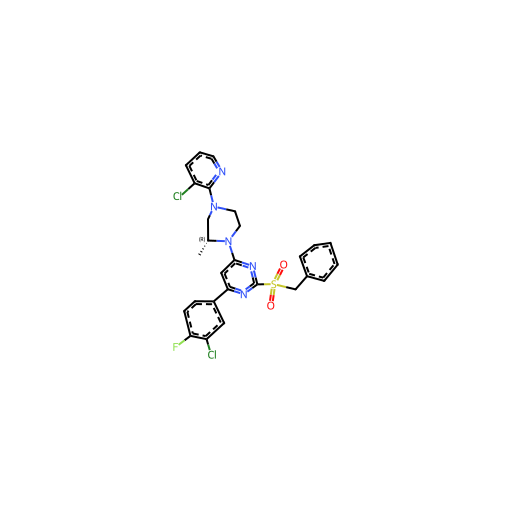 C[C@@H]1CN(c2ncccc2Cl)CCN1c1cc(-c2ccc(F)c(Cl)c2)nc(S(=O)(=O)Cc2ccccc2)n1